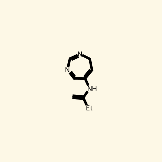 C=C(CC)NC1=CCN=CN=C1